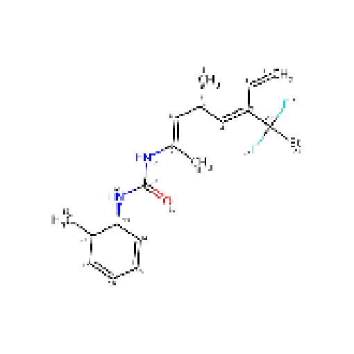 C=C/C(=C\[C@@H](C)/C=C(\C)NC(=O)N[C@H]1C=CC=CC1C)C(F)(F)CC